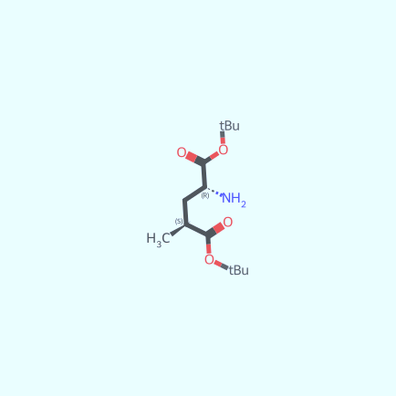 C[C@@H](C[C@@H](N)C(=O)OC(C)(C)C)C(=O)OC(C)(C)C